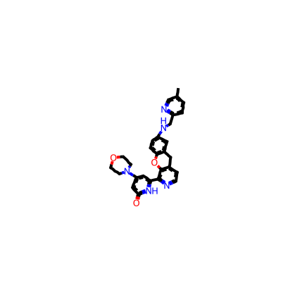 Cc1ccc(CNc2ccc3c(c2)Cc2ccnc(-c4cc(N5CCOCC5)cc(=O)[nH]4)c2O3)nc1